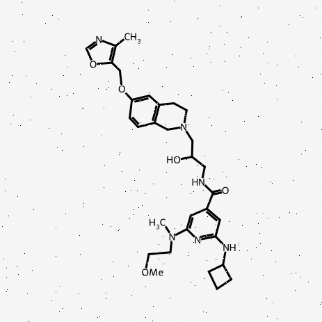 COCCN(C)c1cc(C(=O)NCC(O)CN2CCc3cc(OCc4ocnc4C)ccc3C2)cc(NC2CCC2)n1